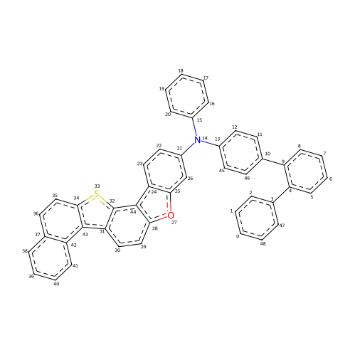 c1ccc(-c2ccccc2-c2ccc(N(c3ccccc3)c3ccc4c(c3)oc3ccc5c(sc6ccc7ccccc7c65)c34)cc2)cc1